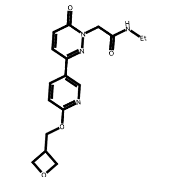 CCNC(=O)Cn1nc(-c2ccc(OCC3COC3)nc2)ccc1=O